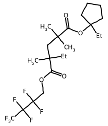 CCC1(OC(=O)C(C)(C)CC(C)(CC)C(=O)OCC(F)(F)C(F)(F)C(F)(F)F)CCCC1